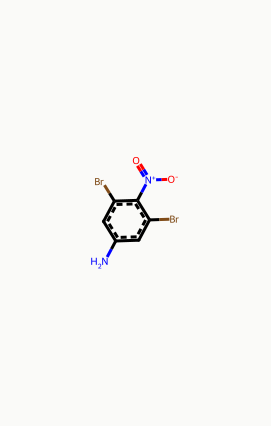 Nc1cc(Br)c([N+](=O)[O-])c(Br)c1